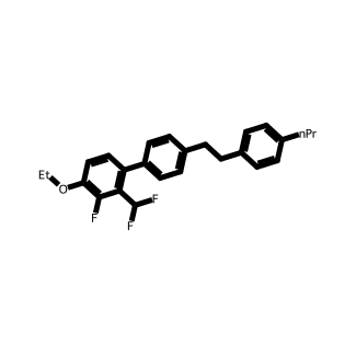 CCCc1ccc(CCc2ccc(-c3ccc(OCC)c(F)c3C(F)F)cc2)cc1